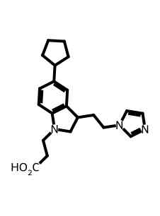 O=C(O)CCN1CC(CCn2ccnc2)c2cc(C3CCCC3)ccc21